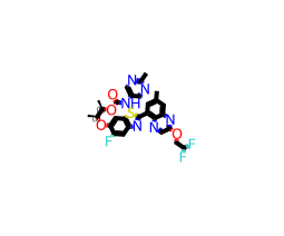 Cc1cc(-c2nc3cc(F)c(O[C@@H](C)[C@@H](C)OC(=O)Nc4cnc(C)nc4)cc3s2)c2ncc(OCC(F)F)nc2c1